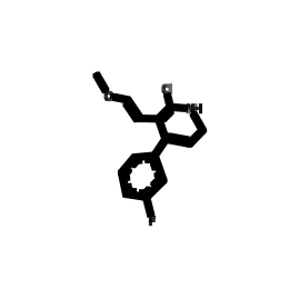 CO/C=C/C1=C(Cl)NCC=C1c1cccc(F)c1